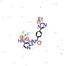 CCOc1cncc(-c2ccc(C(=O)NCc3cc(NS(=O)(=O)C(F)F)ccn3)cc2)n1